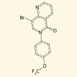 O=c1c2cccnc2c(Br)cn1-c1ccc(OC(F)(F)F)cc1